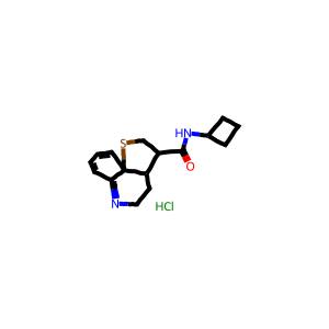 Cl.O=C(NC1CCC1)C1CSC23C=CC=CC2=NCCC13